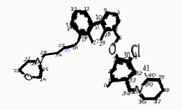 Cc1cc(OCc2cccc(-c3cccc(/C=C/CCN4CCOCC4)c3C)c2C)c(Cl)cc1CN1CCCC[C@H]1C